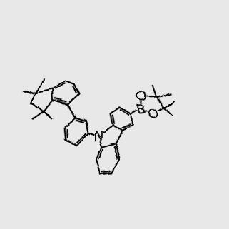 CC1(C)CC(C)(C)c2c(-c3cccc(-n4c5ccccc5c5cc(B6OC(C)(C)C(C)(C)O6)ccc54)c3)cccc21